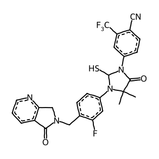 CC1(C)C(=O)N(c2ccc(C#N)c(C(F)(F)F)c2)C(S)N1c1ccc(CN2Cc3ncccc3C2=O)c(F)c1